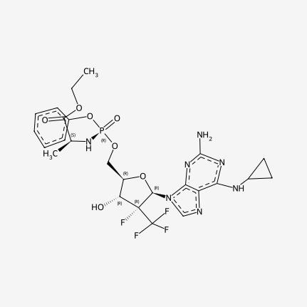 CCOC(=O)[C@H](C)N[P@@](=O)(OC[C@H]1O[C@@H](n2cnc3c(NC4CC4)nc(N)nc32)[C@@](F)(C(F)(F)F)[C@@H]1O)Oc1ccccc1